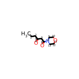 CCCC(=O)CC(=O)N1CCOCC1